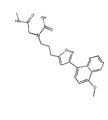 CNC(=O)CN(CCCc1cc(-c2ccc(OC)c3ccccc23)no1)C(=O)O